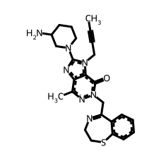 CC#CCn1c(N2CCCC(N)C2)nc2c(C)nn(CC3=NCCSc4ccccc43)c(=O)c21